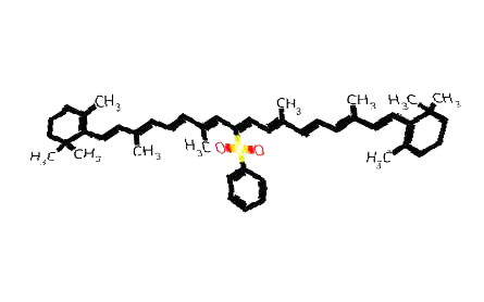 CC1=C(/C=C/C(C)=C/C=C/C(C)=C/C=C(/C=C(C)/C=C/C=C(C)/C=C/C2=C(C)CCCC2(C)C)S(=O)(=O)c2ccccc2)C(C)(C)CCC1